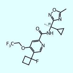 Cc1nc([C@](C)(NC(=O)c2cc(OCC(F)(F)F)c(C3(F)CCC3)cn2)C2CC2)no1